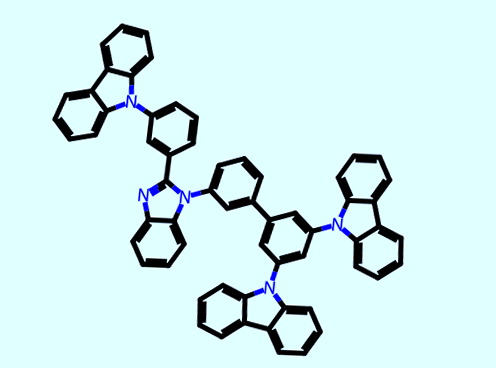 c1cc(-c2cc(-n3c4ccccc4c4ccccc43)cc(-n3c4ccccc4c4ccccc43)c2)cc(-n2c(-c3cccc(-n4c5ccccc5c5ccccc54)c3)nc3ccccc32)c1